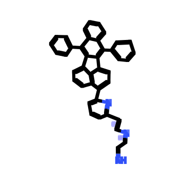 N=C/C=N\C=C\c1cccc(-c2ccc3c4c(cccc24)-c2c-3c(-c3ccccc3)c3ccccc3c2-c2ccccc2)n1